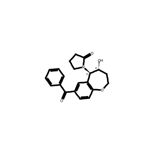 O=C(c1ccccc1)c1ccc2c(c1)[C@@H](N1CCCC1=O)[C@H](O)CCO2